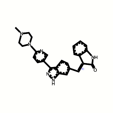 CN1CCN(c2ccc(-c3n[nH]c4cc(/C=C5/C(=O)Nc6ccccc65)ccc34)cn2)CC1